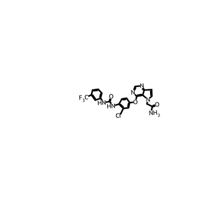 NC(=O)Cn1ccc2ncnc(Oc3ccc(NC(=O)Nc4cccc(C(F)(F)F)c4)c(Cl)c3)c21